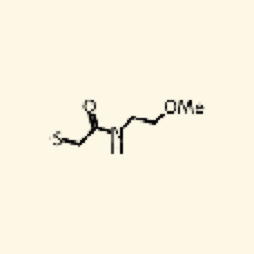 COCCNC(=O)C[S]